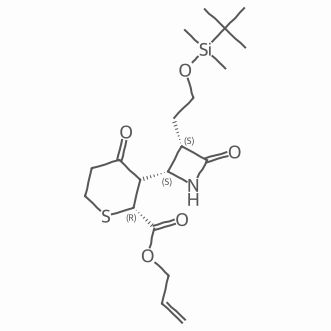 C=CCOC(=O)[C@@H]1SCCC(=O)C1[C@H]1NC(=O)[C@H]1CCO[Si](C)(C)C(C)(C)C